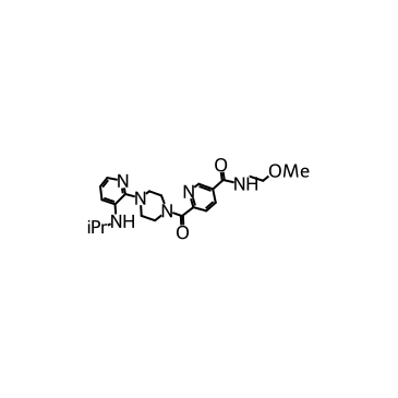 COCCNC(=O)c1ccc(C(=O)N2CCN(c3ncccc3NC(C)C)CC2)nc1